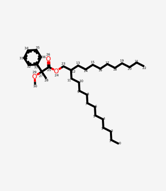 CCCCCCCCCCCCC(CCCCCCCCCC)COC(=O)C(C)(OC)c1ccccc1